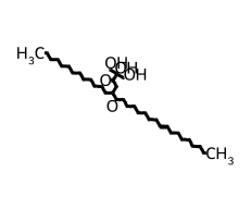 CCCCCCCCC=CCCCCCCCC(=O)C(CCCCCCCCCCCCC)CC(=O)C(O)(CO)CO